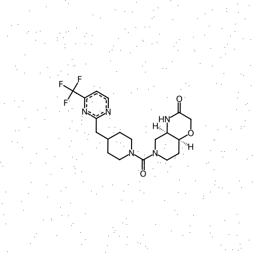 O=C1CO[C@H]2CCN(C(=O)N3CCC(Cc4nccc(C(F)(F)F)n4)CC3)C[C@H]2N1